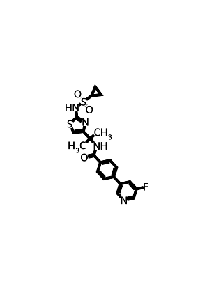 CC(C)(NC(=O)c1ccc(-c2cncc(F)c2)cc1)c1csc(NS(=O)(=O)C2CC2)n1